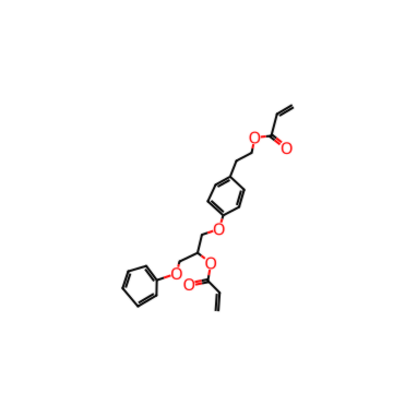 C=CC(=O)OCCc1ccc(OCC(COc2ccccc2)OC(=O)C=C)cc1